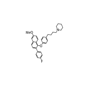 COc1ccc2c(Oc3ccc(CCCCN4CCCCC4)cc3)c(-c3ccc(F)cc3)ccc2c1